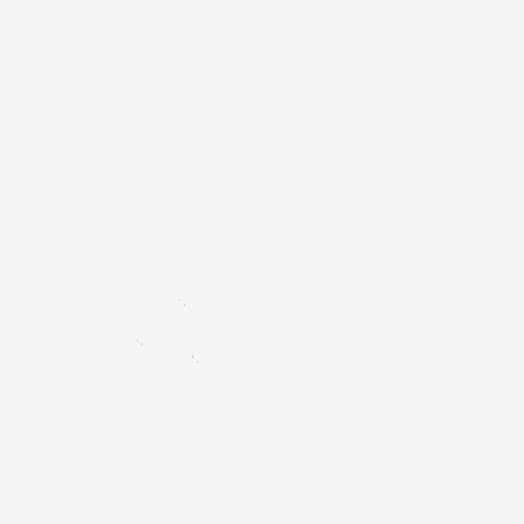 c1ccc(-c2cccc(-c3nc(-c4ccccc4)nc(-c4cccc(-c5cccc(-c6cccc7oc8cc9oc%10ccccc%10c9cc8c67)c5)c4)n3)c2)cc1